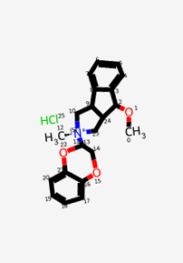 COC1c2ccccc2C2C[N@+](C)(C3COc4ccccc4O3)CC21.Cl